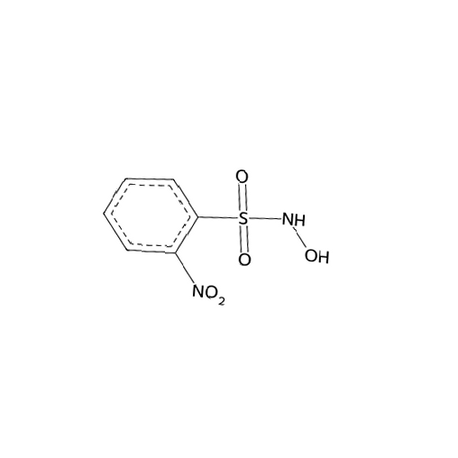 O=[N+]([O-])c1ccccc1S(=O)(=O)NO